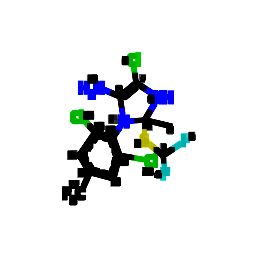 CC1(SC(F)F)NC(Cl)=C(N)N1c1c(Cl)cc(C(F)(F)F)cc1Cl